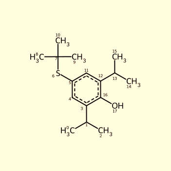 CC(C)c1cc(SC(C)(C)C)cc(C(C)C)c1O